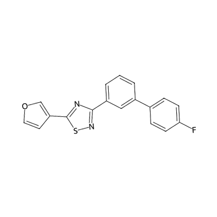 Fc1ccc(-c2cccc(-c3nsc(-c4ccoc4)n3)c2)cc1